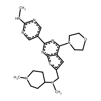 CNc1ncc(-c2nc(N3CCOCC3)c3cc(CN(C)C4CCN(C)CC4)sc3n2)cn1